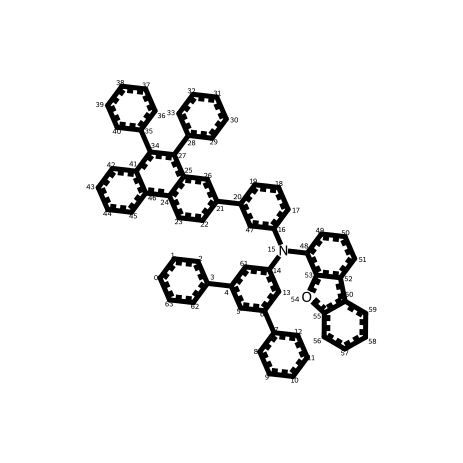 c1ccc(-c2cc(-c3ccccc3)cc(N(c3cccc(-c4ccc5c(c4)c(-c4ccccc4)c(-c4ccccc4)c4ccccc45)c3)c3cccc4c3oc3ccccc34)c2)cc1